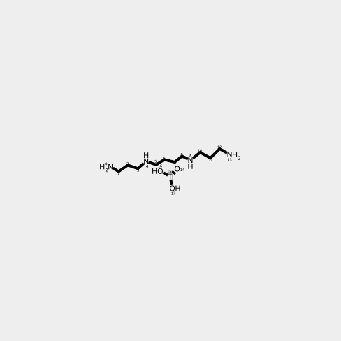 NCCCNCCCCNCCCN.[O]=[Ti]([OH])[OH]